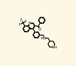 O=C(c1ccccc1)c1cnc2c(C(F)(F)F)cccc2c1-c1cccc(CNCC2CCNCC2)c1